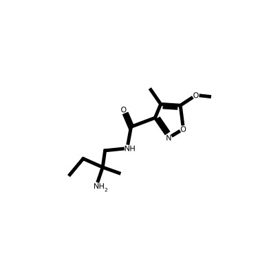 CCC(C)(N)CNC(=O)c1noc(OC)c1C